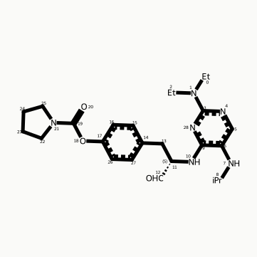 CCN(CC)c1ncc(NC(C)C)c(N[C@H](C=O)Cc2ccc(OC(=O)N3CCCC3)cc2)n1